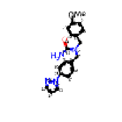 COc1ccc(CN(Cc2ccc(-n3cccn3)cc2)C(N)=O)cc1